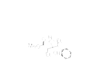 CCC(C(=O)OC)C(C)(C)C(CC)c1ccccc1